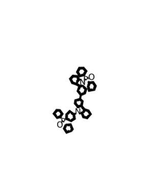 O=P(c1ccccc1)(c1ccccc1)c1ccc(-n2c3ccccc3c3cc(-c4ccc5c(c4)c4ccccc4n5P(=O)(c4ccccc4)c4ccccc4)ccc32)cc1